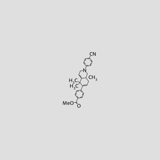 COC(=O)c1ccc(C2=CC[C@]3(C)CN(c4ccc(C#N)cc4)CC=C3C2(C)C)cc1